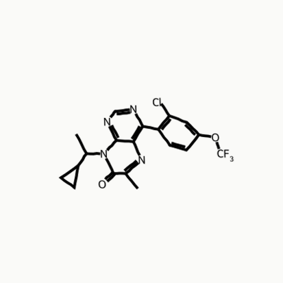 Cc1nc2c(-c3ccc(OC(F)(F)F)cc3Cl)ncnc2n(C(C)C2CC2)c1=O